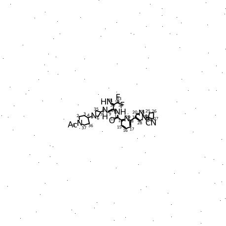 CC(=O)N1CCC(N2CC(N/C=C(/NC(=O)c3cccc(-c4cnn(C5(C#N)CCC5)c4)n3)C(=N)C(F)F)C2)CC1